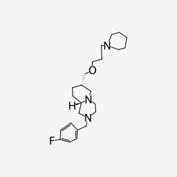 Fc1ccc(CN2CCN3C[C@@H](COCCCN4CCCCC4)CC[C@H]3C2)cc1